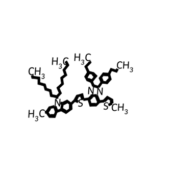 CCCCCCCCC(CCCCCCCC)n1c2cc(C)ccc2c2ccc(-c3ccc(-c4ccc(-c5ccc(C)s5)c5nc(-c6ccc(CCC)cc6)c(-c6ccc(CCC)cc6)nc45)s3)cc21